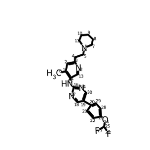 Cc1cc(CCN2CCCCC2)ncc1Nc1ncc(-c2ccc(OC(F)F)cc2)cn1